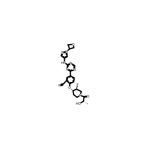 C[C@H](O)C(=O)N1CC[C@H](Oc2ccc(-c3ncnc(Nc4cnn(C5COC5)c4)n3)cc2C#N)[C@@H](F)C1